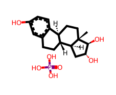 C[C@]12CC[C@@H]3c4ccc(O)cc4CC[C@H]3[C@@H]1C[C@@H](O)[C@@H]2O.O=P(O)(O)O